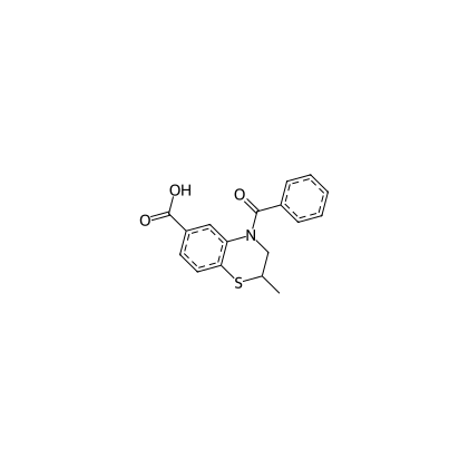 CC1CN(C(=O)c2ccccc2)c2cc(C(=O)O)ccc2S1